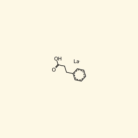 O=C(O)CCc1ccccc1.[La]